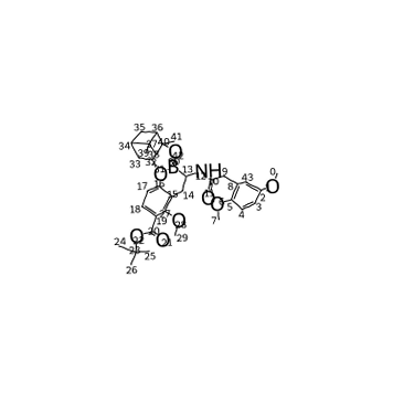 COc1ccc(OC)c(CC(=O)NC(Cc2cccc(C(=O)OC(C)(C)C)c2OC)B2OC3CC4CC(C4(C)C)C3(C)O2)c1